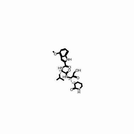 COc1cccc2[nH]c(C(=O)N[C@@H](CC(C)C)C(=O)N[C@@H](C[C@@H]3CCCNC3=O)C(=O)CO)cc12